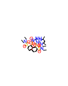 CCN(CC)S(=O)(=O)c1ccccc1S(=O)(=O)N(OC)C(=N)N(c1nc(C)cc(C)n1)S(=O)(=O)c1ccccc1S(=O)(=O)N(CC)CC